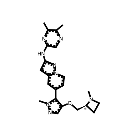 Cc1ncc(Nc2cc3cc(-c4c(OC[C@@H]5CCN5C)cnn4C)ccn3n2)nc1C